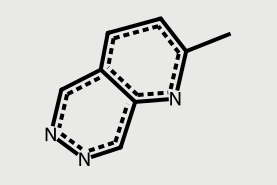 Cc1ccc2cnncc2n1